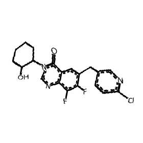 O=c1c2cc(Cc3ccc(Cl)nc3)c(F)c(F)c2ncn1C1CCCCC1O